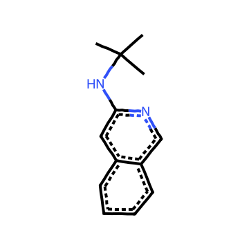 CC(C)(C)Nc1cc2ccccc2cn1